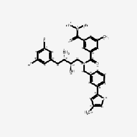 CCCN(CCC)C(=O)c1cc(C)cc(C(=O)N(Cc2cccc(-c3cc(C)cs3)c2)C[C@@H](O)[C@@H](N)Cc2cc(F)cc(F)c2)c1